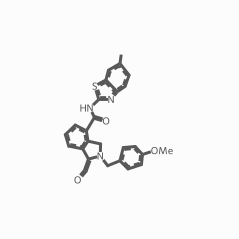 COc1ccc(CN2Cc3c(C(=O)Nc4nc5ccc(C)cc5s4)cccc3C2=C=O)cc1